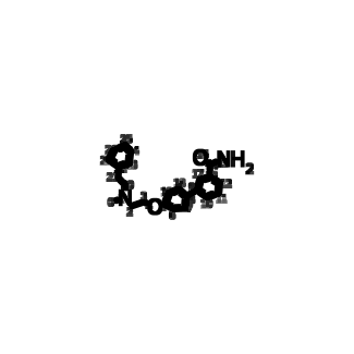 CN(CCOc1ccc(-c2cccc(C(N)=O)c2)cc1)CCc1ccccc1